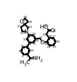 CC(N)c1cccc(-c2cc(COc3ccccc3CC(=O)O)cc(N3CCC4(CCO4)C3)c2)c1